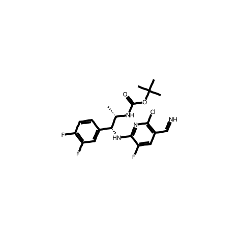 C[C@H](NC(=O)OC(C)(C)C)[C@H](Nc1nc(Cl)c(C=N)cc1F)c1ccc(F)c(F)c1